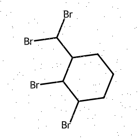 BrC(Br)C1CCCC(Br)C1Br